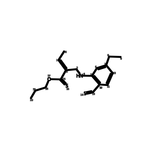 C/C=C(\CNc1cc(CC)ccc1C=S)C(=S)OCCC